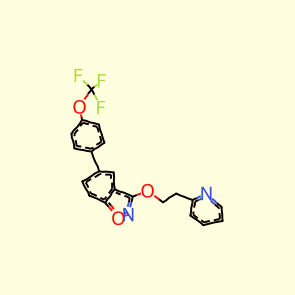 FC(F)(F)Oc1ccc(-c2ccc3onc(OCCc4ccccn4)c3c2)cc1